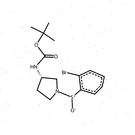 CC(C)(C)OC(=O)N[C@H]1CCN([S+]([O-])c2ccccc2Br)C1